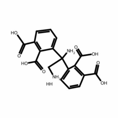 NCC(N)(c1cccc(C(=O)O)c1C(=O)O)c1cccc(C(=O)O)c1C(=O)O.[HH]